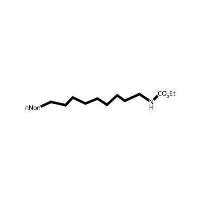 C[CH]OC(=O)NCCCCCCCCCCCCCCCCCC